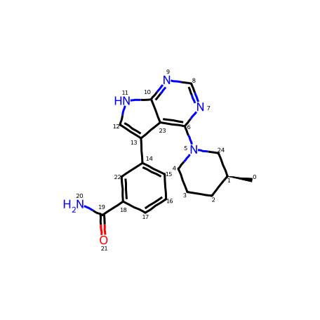 C[C@H]1CCCN(c2ncnc3[nH]cc(-c4cccc(C(N)=O)c4)c23)C1